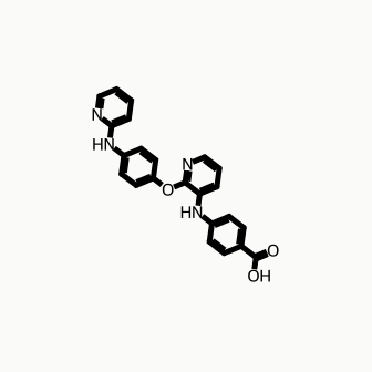 O=C(O)c1ccc(Nc2cccnc2Oc2ccc(Nc3ccccn3)cc2)cc1